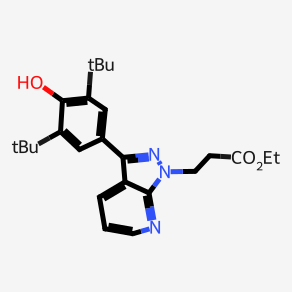 CCOC(=O)CCn1nc(-c2cc(C(C)(C)C)c(O)c(C(C)(C)C)c2)c2cccnc21